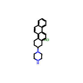 Cl.c1ccc2c(c1)ccc1c3c(ccc12)CC(N1CCNCC1)CC3